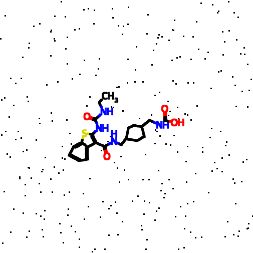 CCNC(=O)Nc1sc2ccccc2c1C(=O)NCC1CCC(CNC(=O)O)CC1